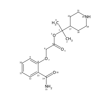 CC(C)(OC(=O)COc1ccccc1C(N)=O)C1CCNCC1